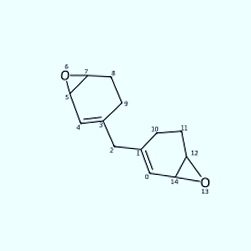 C1=C(CC2=CC3OC3CC2)CCC2OC12